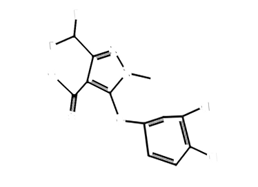 Cn1nc(C(F)F)c(C(=O)O)c1Oc1ccc(Cl)c(Cl)c1